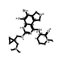 CN(C)CC1(COc2nc(N[C@@H]3CCCN(C)C3=O)c3c4c(c(Br)c(F)c3n2)COC4)CC1